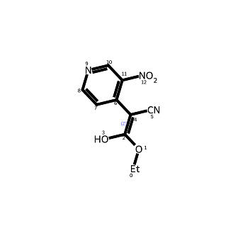 CCO/C(O)=C(\C#N)c1ccncc1[N+](=O)[O-]